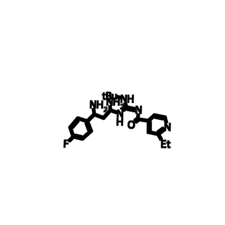 CCc1cc(C(=O)/N=C(\NC(N)CC(N)c2ccc(F)cc2)NC(C)(C)C)ccn1